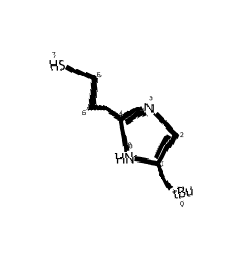 CC(C)(C)c1cnc(CCS)[nH]1